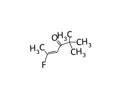 C/C(F)=C\C(=O)C(C)(C)C